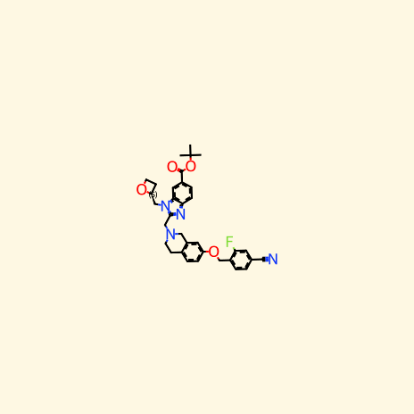 CC(C)(C)OC(=O)c1ccc2nc(CN3CCc4ccc(OCc5ccc(C#N)cc5F)cc4C3)n(C[C@@H]3CCO3)c2c1